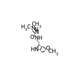 COc1ccc2[nH]cc(CCNC(=O)c3cn(C(C)C)nn3)c2c1